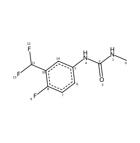 CNC(=O)Nc1ccc(F)c(C(F)F)c1